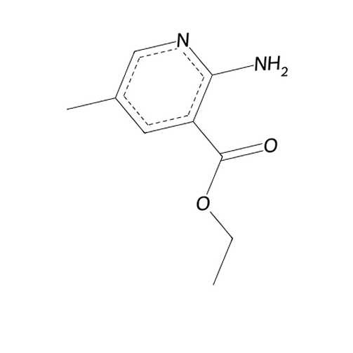 CCOC(=O)c1cc(C)cnc1N